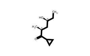 CC[C@H](O)C[C@H](C)C(=O)C1CC1